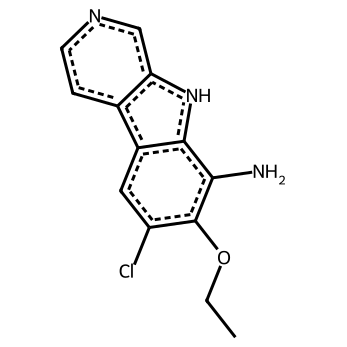 CCOc1c(Cl)cc2c([nH]c3cnccc32)c1N